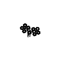 Clc1c(N2c3ccccc3C(C3=CCCC=C3)(c3ccccc3)c3ccccc32)cc(Br)cc1N1c2ccccc2C(c2ccccc2)(c2ccccc2)c2ccccc21